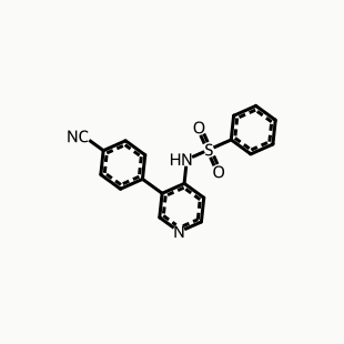 N#Cc1ccc(-c2cnccc2NS(=O)(=O)c2ccccc2)cc1